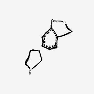 C1CCNC1.c1ccc2c(c1)CSO2